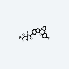 O=C(NNC(=O)C(F)F)c1ccc2c(c1)C(=O)N(N1CCC[C@H]1c1cccc(F)c1)C2